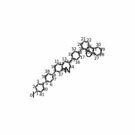 Ic1ccc(-c2ccc(-c3ccc4cc(-c5ccc(-c6cccc7c6oc6ccccc67)cc5)cnc4c3)cc2)cc1